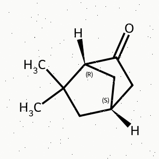 CC1(C)C[C@H]2CC(=O)[C@@H]1C2